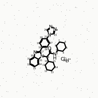 O=C(NC1CCCCC1)C(C1CCCCC1)n1c(-c2ccc(-n3cnnc3)cc2)nc2ccccc21.[Cl-].[H+]